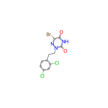 O=c1[nH]c(=O)n(CCc2ccc(Cl)cc2Cl)nc1Br